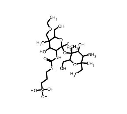 CCOCC1(C)C(CO)OC(C)(OC2(C)C(CO)OC(C)(CC)C(N)C2O)C(NC(=O)NCCC[Si](O)(O)O)C1O